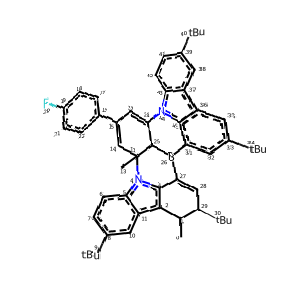 CC1c2c3n(c4ccc(C(C)(C)C)cc24)C2(C)C=C(c4ccc(F)cc4)C=C4C2B(C3=CC1C(C)(C)C)c1cc(C(C)(C)C)cc2c3cc(C(C)(C)C)ccc3n4c12